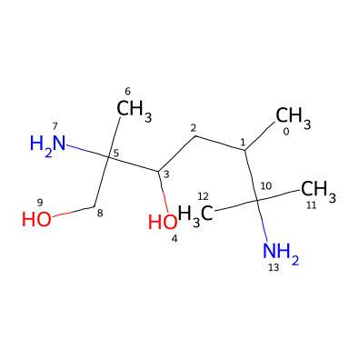 CC(CC(O)C(C)(N)CO)C(C)(C)N